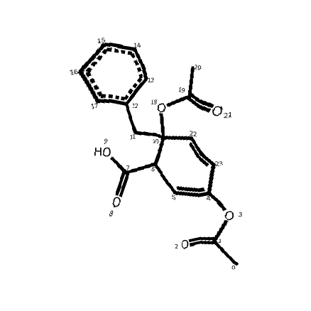 CC(=O)OC1=CC(C(=O)O)C(Cc2ccccc2)(OC(C)=O)C=C1